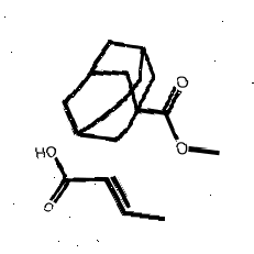 CC=CC(=O)O.COC(=O)C12CC3CC(CC(C3)C1)C2